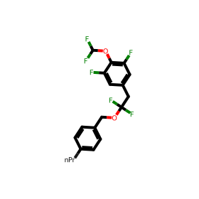 CCCc1ccc(COC(F)(F)Cc2cc(F)c(OC(F)F)c(F)c2)cc1